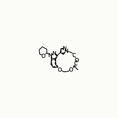 C[C@@H]1COCCn2cc(cn2)-c2nn(C3CCCCO3)c3ccc(cc23)OCCO1